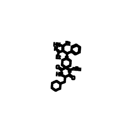 CCCCN1C(=O)C(CC2CCCCC2)NC(=O)C12CCN(C(c1ccccc1)c1c(CC)n[nH]c1CC)CC2